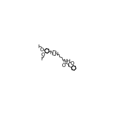 O=C(NCCCCN1CCN(c2ccc(OCI)c(OCI)c2)CC1)C1=Cc2ccccc2OC1